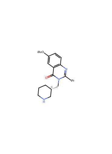 CC(C)COc1ccc2nc(C(C)C)n(C[C@H]3CCCNC3)c(=O)c2c1